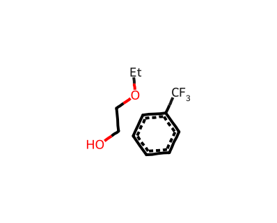 CCOCCO.FC(F)(F)c1ccccc1